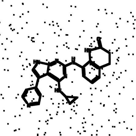 O=C1CCc2cccc(Nc3nc(NC4CC4)c4c(-c5ccncc5)c[nH]c4n3)c2N1